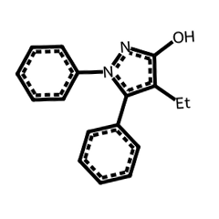 CCc1c(O)nn(-c2ccccc2)c1-c1ccccc1